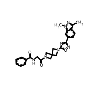 Cc1nn(C)c2cc(-c3noc(N4CC5(CN(C(=O)CNC(=O)c6ccccc6)C5)C4)n3)ccc12